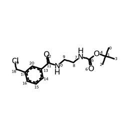 CC(C)(C)OC(=O)NCCNC(=O)c1cccc(CCl)c1